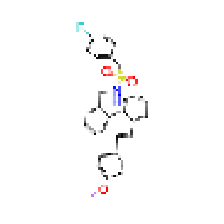 O=S(=O)(Cc1ccc(F)cc1)NCc1ccccc1-c1ccccc1/C=C/c1ccc(OI)cc1